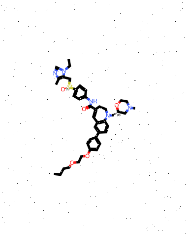 CCCCOCCOc1ccc(-c2ccc3c(c2)C=C(C(=O)Nc2ccc([S@+]([O-])Cc4c(C)ncn4CC)cc2)CCN3C[C@H]2CN(C)CCO2)cc1